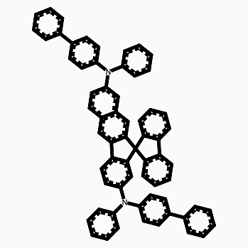 c1ccc(-c2ccc(N(c3ccccc3)c3ccc4c(c3)C3(c5ccccc5-c5ccccc53)c3cc5cc(N(c6ccccc6)c6ccc(-c7ccccc7)cc6)ccc5cc3-4)cc2)cc1